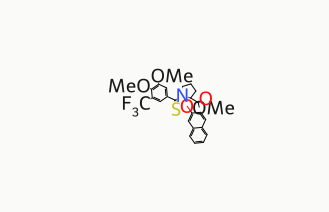 COC(=O)C1(Oc2ccc3ccccc3c2)CCCN1C(=S)c1cc(OC)c(OC)c(C(F)(F)F)c1